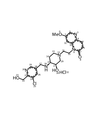 COc1cnc2ccc(=O)n(CCN3CC[C@H](NCc4cnc(CO)c(Cl)c4)[C@H](O)C3)c2c1.Cl